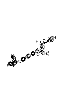 CC[C@@H]([C@H](C)OC(=O)OC(C)OC(=O)CCOS(=O)(=O)O)n1ncn(-c2ccc(N3CCN(c4ccc(OC[C@@H]5CO[C@@](Cn6cncn6)(c6ccc(F)cc6F)C5)cc4)CC3)cc2)c1=O